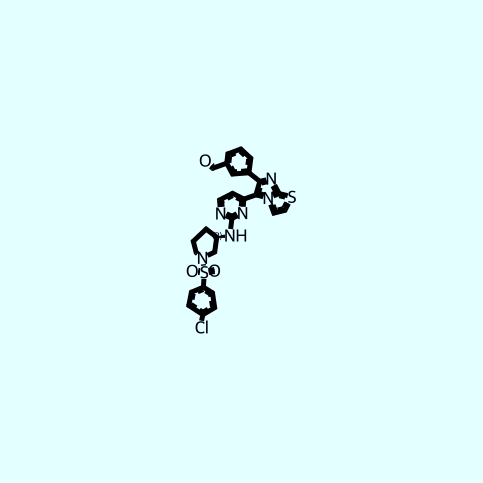 O=Cc1cccc(-c2nc3sccn3c2-c2ccnc(N[C@@H]3CCCN(S(=O)(=O)c4ccc(Cl)cc4)C3)n2)c1